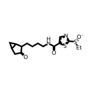 CC[S+]([O-])c1ncc(C(=O)NCCCCC2C(=O)CC3CC32)s1